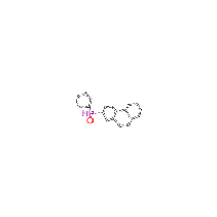 O=[PH](c1ccccc1)c1ccc2c(ccc3ccccc32)c1